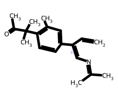 C=C/C(=C\N=C(C)C)c1ccc(C(C)(C)C(C)=O)c(C)c1